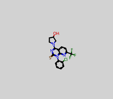 OC1CCN(c2nc(=S)n(-c3ccccc3Cl)c3nc(C(F)(F)F)ccc23)C1